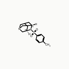 Cc1ccc(S(=O)(=O)N2[C@@H]3CC4C[C@H]2CN(C4)C3)cc1